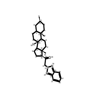 C[C@H]1CC[C@@]2(C)C(CC[C@@H]3C2CC[C@@]2(C)C3CC[C@@H]2C(=O)Cn2nc3ccccc3n2)C1